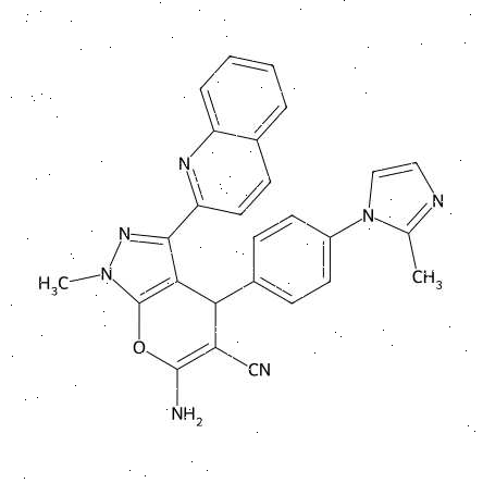 Cc1nccn1-c1ccc(C2C(C#N)=C(N)Oc3c2c(-c2ccc4ccccc4n2)nn3C)cc1